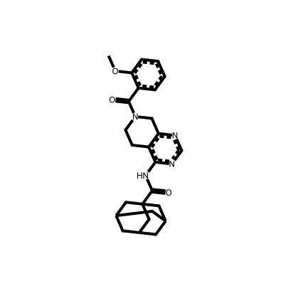 COc1ccccc1C(=O)N1CCc2c(ncnc2NC(=O)C23CC4CC(CC(C4)C2)C3)C1